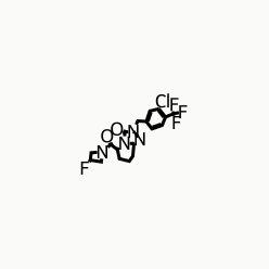 O=C(C1CCCc2nn(Cc3ccc(C(F)(F)F)c(Cl)c3)c(=O)n21)N1CC(F)C1